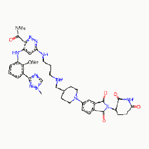 CNC(=O)c1nnc(NCCCNCC2CCN(c3ccc4c(c3)C(=O)N(C3CCC(=O)NC3=O)C4=O)CC2)cc1Nc1cccc(-c2ncn(C)n2)c1OC